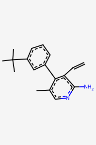 C=Cc1c(N)ncc(C)c1-c1cccc(C(C)(C)C)c1